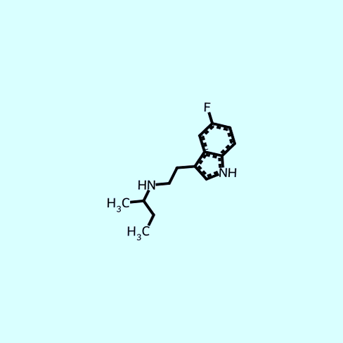 CCC(C)NCCc1c[nH]c2ccc(F)cc12